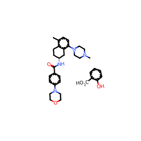 Cc1ccc(N2CCN(C)CC2)c2c1CC[C@@H](NC(=O)c1ccc(N3CCOCC3)cc1)C2.O=C(O)c1ccccc1O